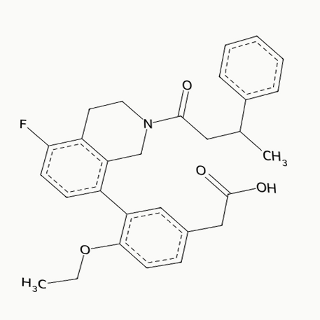 CCOc1ccc(CC(=O)O)cc1-c1ccc(F)c2c1CN(C(=O)CC(C)c1ccccc1)CC2